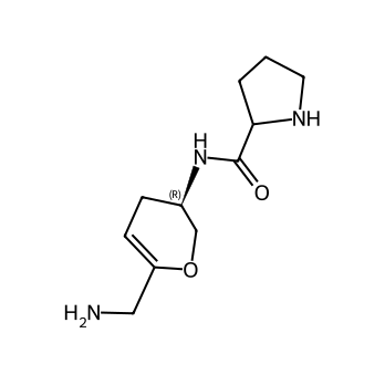 NCC1=CC[C@@H](NC(=O)C2CCCN2)CO1